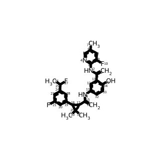 C=C(Nc1ncc(C)cc1F)c1cc(NC(=C)C2C(c3cc(F)cc(C(C)F)c3)C2(C)C)ccc1O